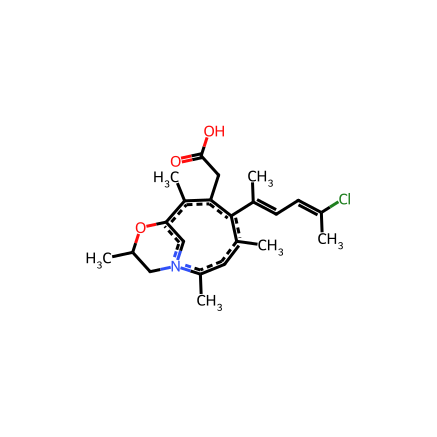 C/C(Cl)=C\C=C(/C)c1c(C)cc(C)n2cc(c(C)c1CC(=O)O)OC(C)C2